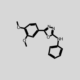 COc1ccc(-c2nnc(Nc3ccccc3)o2)cc1OC